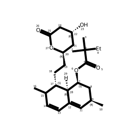 CCC(C)(C)C(=O)O[C@H]1C[C@@H](C)C=C2C=CC(C)[C@H](CC[C@@H]3C[C@@H](O)CC(=O)O3)[C@H]21